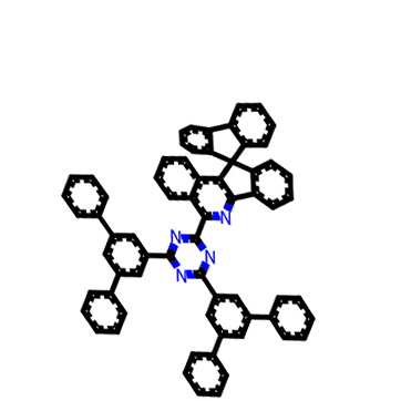 c1ccc(-c2cc(-c3ccccc3)cc(-c3nc(-c4cc(-c5ccccc5)cc(-c5ccccc5)c4)nc(-c4nc5c(c6ccccc46)C4(c6ccccc6-c6ccccc64)c4ccccc4-5)n3)c2)cc1